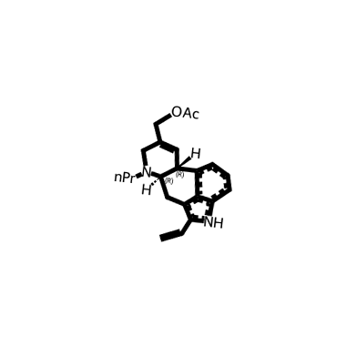 C=Cc1[nH]c2cccc3c2c1C[C@@H]1[C@@H]3C=C(COC(C)=O)CN1CCC